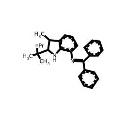 CCCC(C)(C)C1Nc2c(N=C(c3ccccc3)c3ccccc3)cccc2C1C